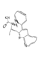 CC(NC(=O)O)c1nc2ncccc2cc1-c1ccccn1